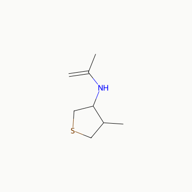 C=C(C)NC1CSCC1C